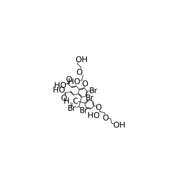 CC(c1ccc(OC(O)COCCO)cc1)(c1c(Br)c(Br)c(OC(O)COCCO)c(C=CC(=O)O)c1C=CC(=O)O)C(Br)Br